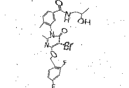 Cc1ccc(C(=O)NCC(C)O)cc1-n1c(C)nc(OCc2ccc(F)cc2F)c(Br)c1=O